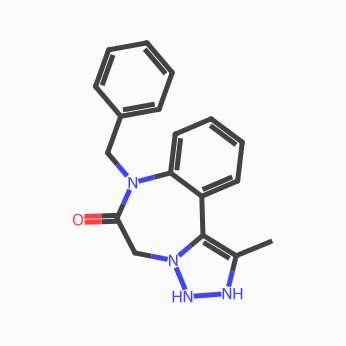 CC1=C2c3ccccc3N(Cc3ccccc3)C(=O)CN2NN1